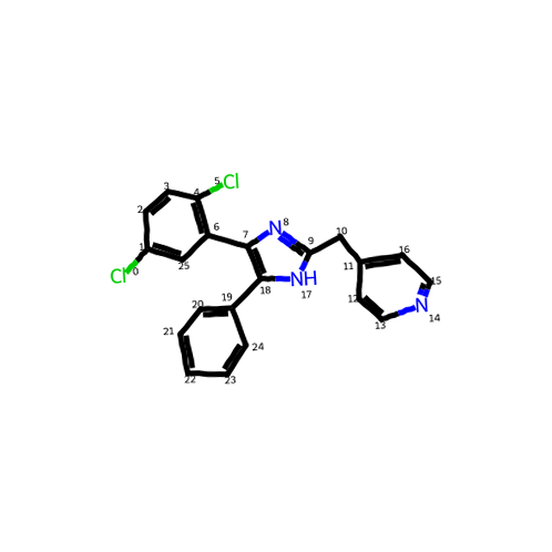 Clc1ccc(Cl)c(-c2nc(Cc3ccncc3)[nH]c2-c2ccccc2)c1